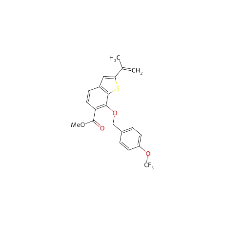 C=C(C)c1cc2ccc(C(=O)OC)c(OCc3ccc(OC(F)(F)F)cc3)c2s1